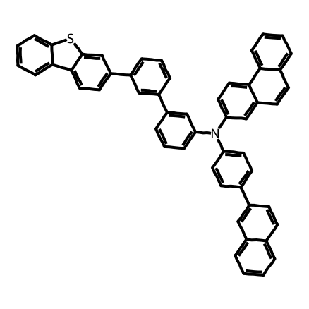 c1cc(-c2cccc(N(c3ccc(-c4ccc5ccccc5c4)cc3)c3ccc4c(ccc5ccccc54)c3)c2)cc(-c2ccc3c(c2)sc2ccccc23)c1